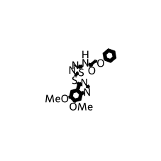 COc1cc2ncnc(Sc3nnc(NC(=O)COc4ccccc4)s3)c2cc1OC